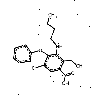 CCCCNc1c(CC)c(C(=O)O)cc(Cl)c1Oc1ccccc1